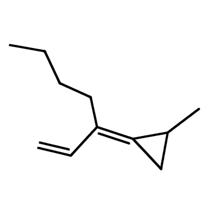 C=CC(CCCC)=C1CC1C